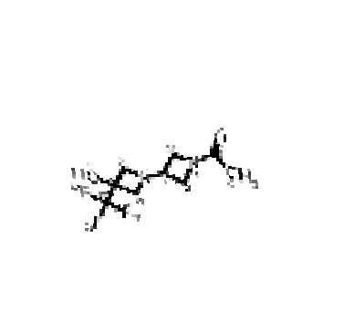 CC(=O)N1CC(N2CC(O)(C(F)(F)F)C2)C1